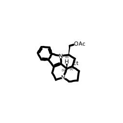 CC[C@@]12CCCN3CCc4c(n(c5ccccc45)[C@@H](COC(C)=O)C1)[C@@H]32